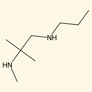 CCCNCC(C)(C)NC